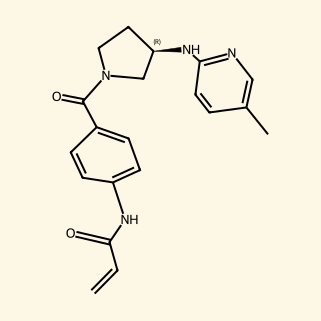 C=CC(=O)Nc1ccc(C(=O)N2CC[C@@H](Nc3ccc(C)cn3)C2)cc1